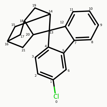 Clc1ccc2c(c1)-c1ccccc1C21C2CC3CC(C2)C1C3